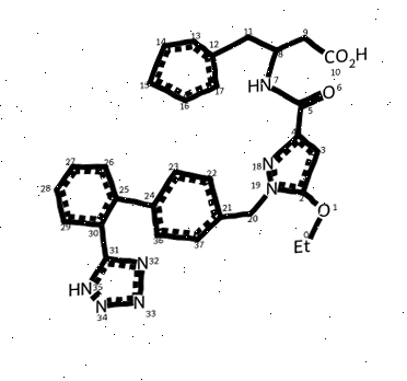 CCOc1cc(C(=O)NC(CC(=O)O)Cc2ccccc2)nn1Cc1ccc(-c2ccccc2-c2nnn[nH]2)cc1